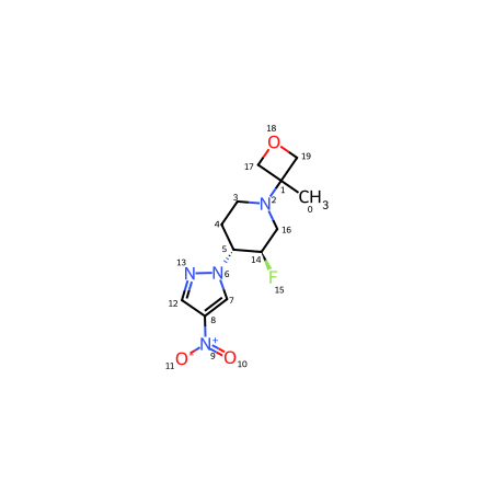 CC1(N2CC[C@@H](n3cc([N+](=O)[O-])cn3)[C@H](F)C2)COC1